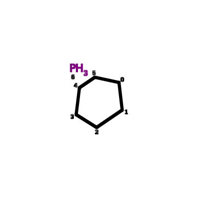 C1CCCCC1.P